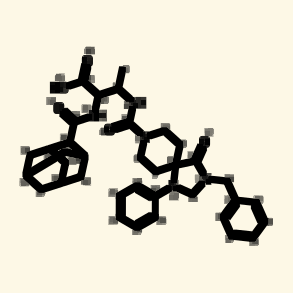 CC(NC(=O)N1CCC2(CC1)C(=O)N(Cc1ccccc1)CN2c1ccccc1)C(NC(=O)C1C2CC3CC(C2)CC1C3)C(=O)O